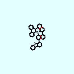 c1ccc(-c2ccccc2N(c2ccc(-c3cccc4c3sc3ccccc34)cc2)c2c(-c3ccccc3)c3ccccc3c3ccccc23)cc1